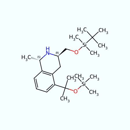 C[C@@H]1N[C@@H](CO[Si](C)(C)C(C)(C)C)Cc2c1cccc2C(C)(C)O[Si](C)(C)C